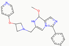 COC1NC(CN2CC(Oc3ccncc3)C2)=Cn2c1cnc2-c1ccc(F)cc1